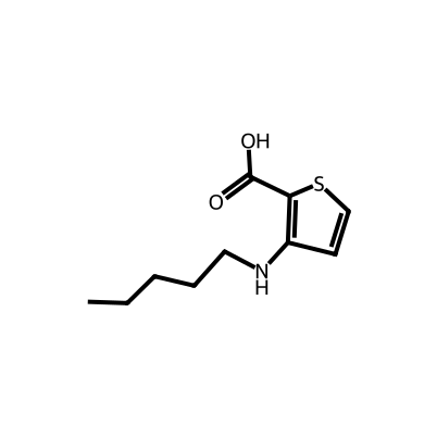 CCCCCNc1ccsc1C(=O)O